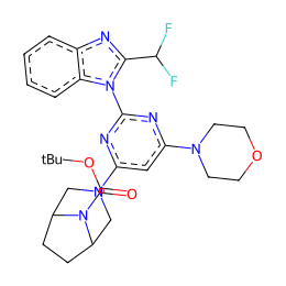 CC(C)(C)OC(=O)N1C2CCC1CN(c1cc(N3CCOCC3)nc(-n3c(C(F)F)nc4ccccc43)n1)C2